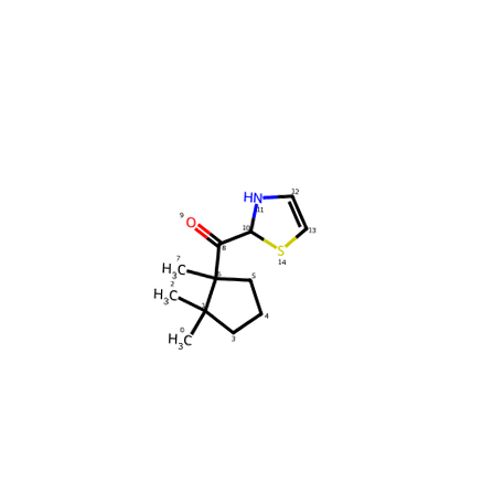 CC1(C)CCCC1(C)C(=O)C1NC=CS1